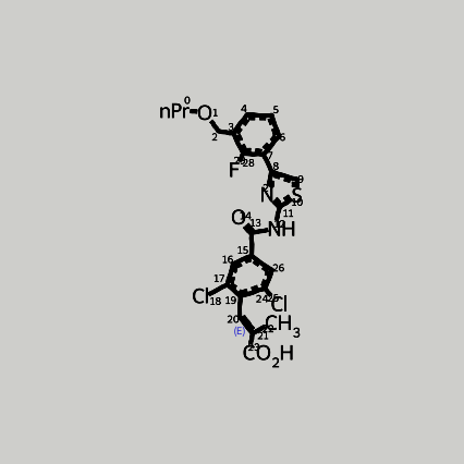 CCCOCc1cccc(-c2csc(NC(=O)c3cc(Cl)c(/C=C(\C)C(=O)O)c(Cl)c3)n2)c1F